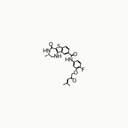 CC(C)=CC(=O)COc1cc(NC(=O)c2ccc3sc4c(c3c2)NC[C@@H](C)NC4=O)ccc1F